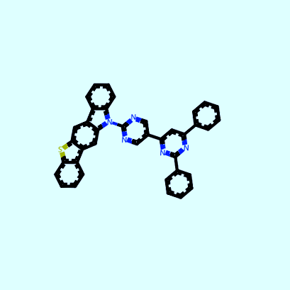 c1ccc(-c2cc(-c3cnc(-n4c5ccccc5c5cc6sc7ccccc7c6cc54)nc3)nc(-c3ccccc3)n2)cc1